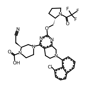 N#CC[C@H]1CN(c2nc(OC[C@@H]3CCCN3C(=O)C(F)(F)F)nc3c2CCN(c2cccc4cccc(Cl)c24)C3)CCN1C(=O)O